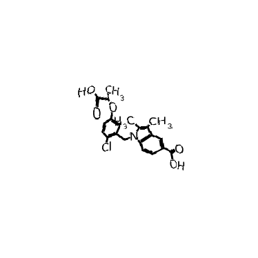 Cc1c(C)n(Cc2cc(O[C@H](C)C(=O)O)ccc2Cl)c2ccc(C(=O)O)cc12